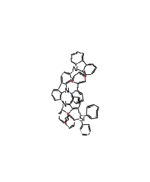 c1ccc(-c2ccccc2-n2c3cc(-n4c5ccccc5c5ccccc54)ccc3c3cccc(-n4c5ccccc5c5c([Si](c6ccccc6)(c6ccccc6)c6ccccc6)cccc54)c32)cc1